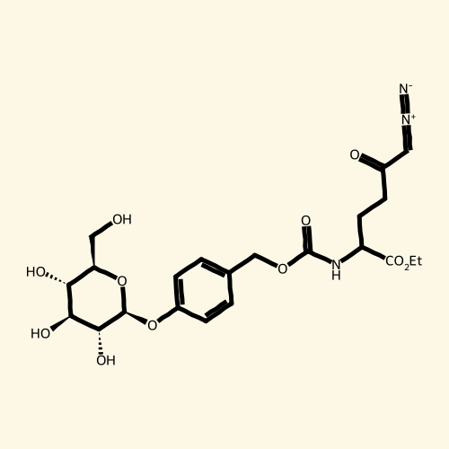 CCOC(=O)C(CCC(=O)C=[N+]=[N-])NC(=O)OCc1ccc(O[C@@H]2O[C@H](CO)[C@@H](O)[C@H](O)[C@H]2O)cc1